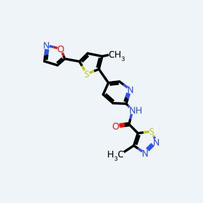 Cc1cc(-c2ccno2)sc1-c1ccc(NC(=O)c2snnc2C)nc1